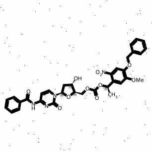 COc1cc([C@@H](C)OC(=O)OC[C@H]2O[C@@H](n3ccc(NC(=O)c4ccccc4)nc3=O)C[C@@H]2O)c([N+](=O)[O-])cc1OCc1ccccc1